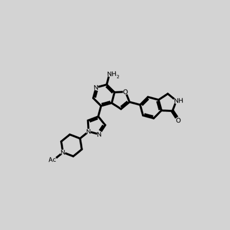 CC(=O)N1CCC(n2cc(-c3cnc(N)c4oc(-c5ccc6c(c5)CNC6=O)cc34)cn2)CC1